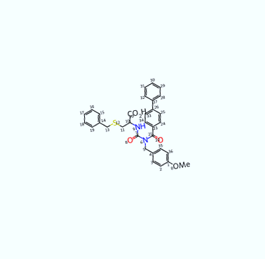 COc1ccc(CN(C(=O)NC(CSCc2ccccc2)C(=O)O)C(=O)c2ccc(-c3ccccc3)cc2)cc1